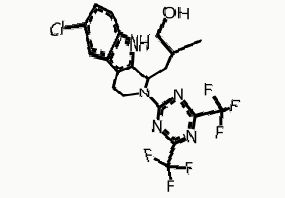 CC(CO)CC1c2[nH]c3ccc(Cl)cc3c2CCN1c1nc(C(F)(F)F)nc(C(F)(F)F)n1